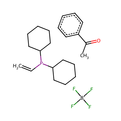 C=CP(C1CCCCC1)C1CCCCC1.CC(=O)c1ccccc1.F[B-](F)(F)F